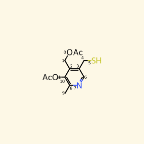 CC(=O)OCc1c(CS)cnc(C)c1OC(C)=O